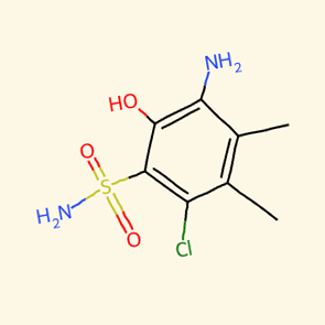 Cc1c(C)c(Cl)c(S(N)(=O)=O)c(O)c1N